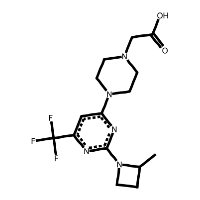 CC1CCN1c1nc(N2CCN(CC(=O)O)CC2)cc(C(F)(F)F)n1